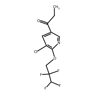 CCC(=O)c1cnc(OCC(F)(F)C(F)F)c(Cl)c1